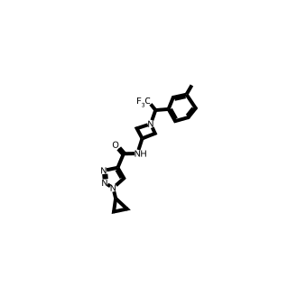 Cc1cccc(C(N2CC(NC(=O)c3cn(C4CC4)nn3)C2)C(F)(F)F)c1